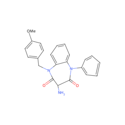 COc1ccc(CN2C(=O)C(N)C(=O)N(c3ccccc3)c3ccccc32)cc1